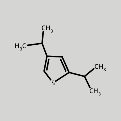 CC(C)c1csc(C(C)C)c1